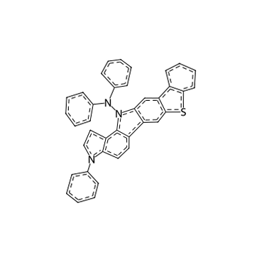 c1ccc(N(c2ccccc2)n2c3cc4c(cc3c3ccc5c(ccn5-c5ccccc5)c32)sc2ccccc24)cc1